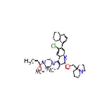 C=CC(=O)N1CCN(C2=C(CC#N)C(OCC34CCCN3CCC4)=NC3C=C(c4cccc5c4CCCC5)C(Cl)=CC23)C[C@@H]1CC#N